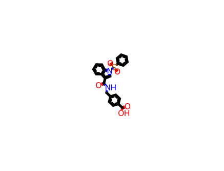 O=C(O)c1ccc(CNC(=O)c2cn(S(=O)(=O)c3ccccc3)c3ccccc23)cc1